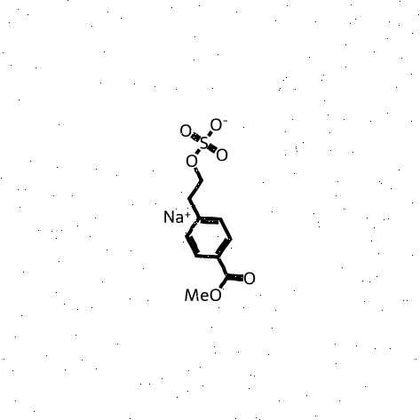 COC(=O)c1ccc(CCOS(=O)(=O)[O-])cc1.[Na+]